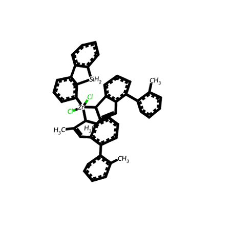 CC1=Cc2c(-c3ccccc3C)cccc2[CH]1[Zr]([Cl])([Cl])([c]1cccc2c1[SiH2]c1ccccc1-2)[CH]1C(C)=Cc2c(-c3ccccc3C)cccc21